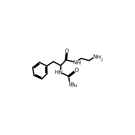 CC(C)(C)C(=O)NC(Cc1ccccc1)C(=O)NCCN